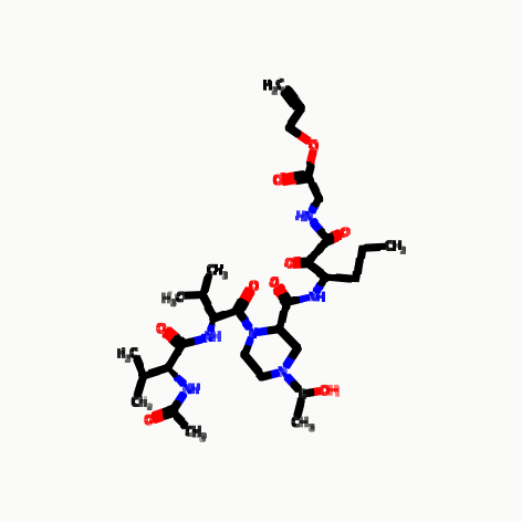 C=CCOC(=O)CNC(=O)C(=O)C(CCC)NC(=O)C1CN(B(C)O)CCN1C(=O)[C@@H](NC(=O)[C@@H](NC(C)=O)C(C)C)C(C)C